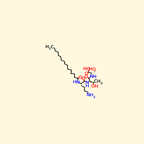 CCCCCCCCCCCCCCCC(=O)N[C@@H](CCCCN)C(=O)N[C@H](C(=O)N[C@@H](CO)C(=O)O)[C@@H](C)O